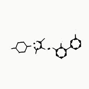 Cc1nn(C2CCC(C(C)(C)C)CC2)c(O)c1/N=N/c1cccc(-c2cccc(C(=O)O)c2)c1O